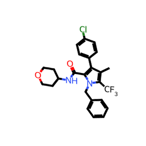 Cc1c(-c2ccc(Cl)cc2)c(C(=O)NC2CCOCC2)n(Cc2ccccc2)c1C(F)(F)F